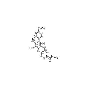 COc1ccc2c(Nc3ccc4c(c3)CN(C(=O)OC(C)(C)C)CC4)c(CO)cnc2n1